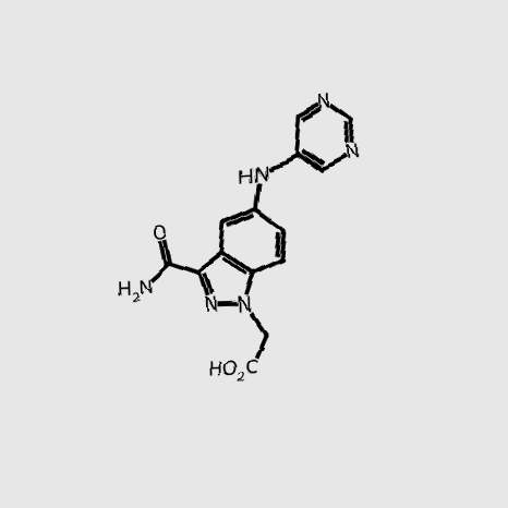 NC(=O)c1nn(CC(=O)O)c2ccc(Nc3cncnc3)cc12